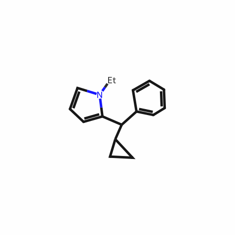 CCn1cccc1C(c1ccccc1)C1CC1